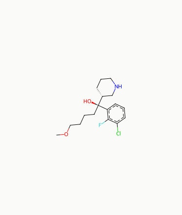 COCCCC[C@@](O)(c1cccc(Cl)c1F)[C@@H]1CCCNC1